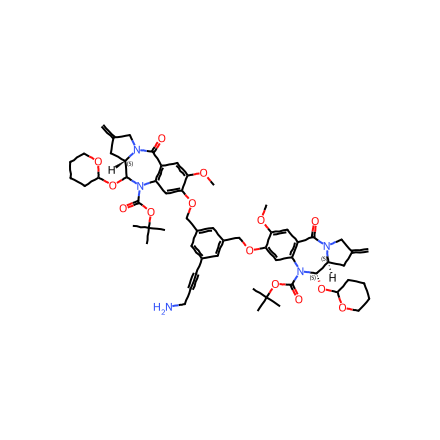 C=C1C[C@H]2C(OC3CCCCO3)N(C(=O)OC(C)(C)C)c3cc(OCc4cc(C#CCN)cc(COc5cc6c(cc5OC)C(=O)N5CC(=C)C[C@H]5[C@H](OC5CCCCO5)N6C(=O)OC(C)(C)C)c4)c(OC)cc3C(=O)N2C1